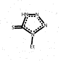 CCn1nn[nH]c1=S